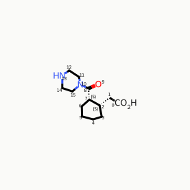 O=C(O)C[C@@H]1CCCC[C@@H]1C(=O)N1CCNCC1